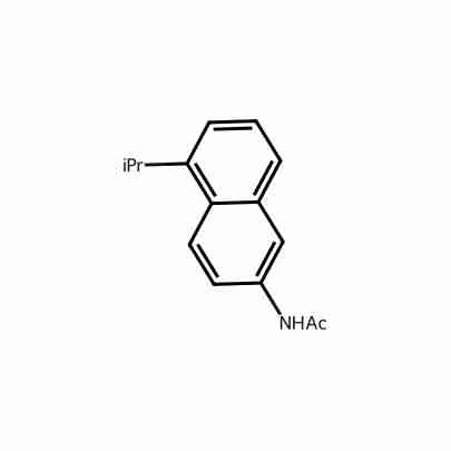 CC(=O)Nc1ccc2c(C(C)C)cccc2c1